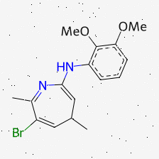 COc1cccc(NC2=CC(C)C=C(Br)C(C)=N2)c1OC